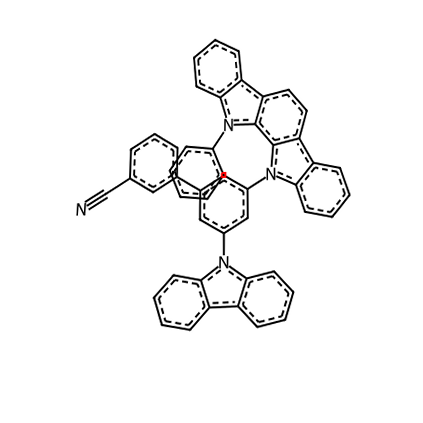 N#Cc1cccc(-c2cc(-n3c4ccccc4c4ccccc43)cc(-n3c4ccccc4c4ccc5c6ccccc6n(-c6ccccc6)c5c43)c2)c1